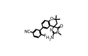 CN1C(=O)C2(CC(C)(C)Oc3ccc(-c4cc(C#N)ccc4F)cc32)N=C1N